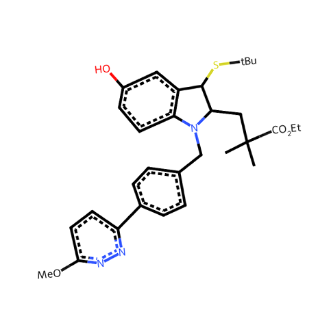 CCOC(=O)C(C)(C)CC1C(SC(C)(C)C)c2cc(O)ccc2N1Cc1ccc(-c2ccc(OC)nn2)cc1